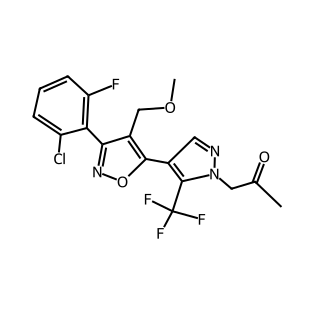 COCc1c(-c2c(F)cccc2Cl)noc1-c1cnn(CC(C)=O)c1C(F)(F)F